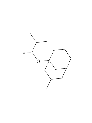 CC1CC2CCCC(O[C@H](C)C(C)C)(C1)C2